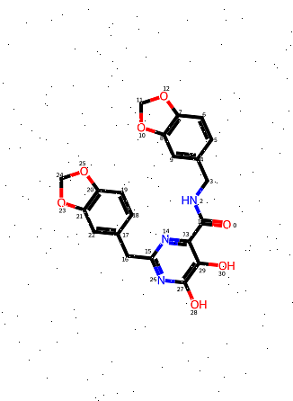 O=C(NCc1ccc2c(c1)OCO2)c1nc(Cc2ccc3c(c2)OCO3)nc(O)c1O